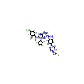 CN1CCN(c2ccc(Nc3ncc4nc(Nc5ccc(Br)cc5F)n(C5CCCC5)c4n3)cc2)CC1